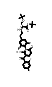 CC(C)(C)OC[C@H](NCCc1cc(F)c(-n2c(N)c(C(=O)c3ccc(F)cc3F)ccc2=O)c(F)c1)C(=O)OC(C)(C)C